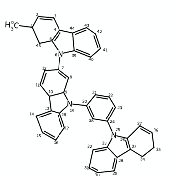 CC1C=Cc2c(n(C3=CC4C(C=C3)c3ccccc3N4c3cccc(-n4c5c(c6ccccc64)CCC=C5)c3)c3ccccc23)C1